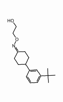 CC(C)(C)c1cccc([C]2CCC(=NOCCO)CC2)c1